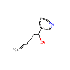 C=CCCC(O)c1cccnc1